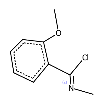 C/N=C(\Cl)c1ccccc1OC